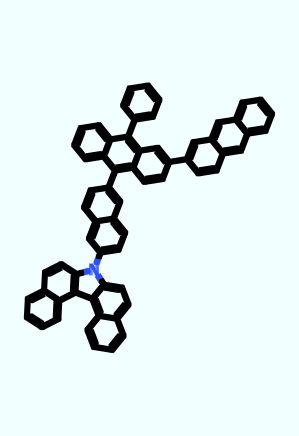 c1ccc(-c2c3ccccc3c(-c3ccc4cc(-n5c6ccc7ccccc7c6c6c7ccccc7ccc65)ccc4c3)c3ccc(-c4ccc5cc6ccccc6cc5c4)cc23)cc1